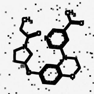 CCC(=O)N1CC[C@H](Oc2ccc3c(c2)N(c2cncc(C(C)=O)c2)CCO3)C1